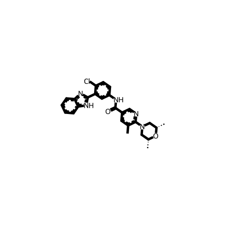 Cc1cc(C(=O)Nc2ccc(Cl)c(-c3nc4ccccc4[nH]3)c2)cnc1N1C[C@@H](C)O[C@@H](C)C1